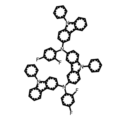 Fc1ccc(N(c2ccc3c(c2)c2ccccc2n3-c2ccccc2)c2ccc3c(c2)c2cc(N(c4ccc5c(c4)c4ccccc4n5-c4ccccc4)c4ccc(F)cc4F)ccc2n3-c2ccccc2)c(F)c1